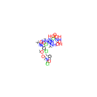 CC(C)Oc1cc(-n2nc(C(C)(C)C)oc2=O)c(Cl)cc1Cl.CCNc1nc(Cl)nc(NC(C)(C)C)n1.CCc1cccc(C)c1N(C(=O)CCl)C(C)COC.O=C(O)CNCP(=O)(O)O